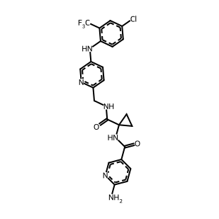 Nc1ccc(C(=O)NC2(C(=O)NCc3ccc(Nc4ccc(Cl)cc4C(F)(F)F)cn3)CC2)cn1